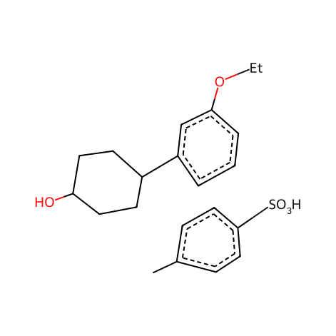 CCOc1cccc(C2CCC(O)CC2)c1.Cc1ccc(S(=O)(=O)O)cc1